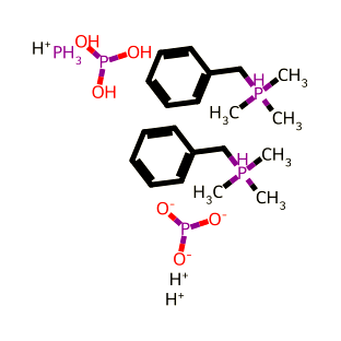 C[PH](C)(C)Cc1ccccc1.C[PH](C)(C)Cc1ccccc1.OP(O)O.P.[H+].[H+].[H+].[O-]P([O-])[O-]